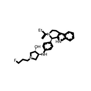 C=C(CC)N1CCc2c([nH]c3ccccc23)[C@H]1c1ccc(N[C@H]2CN(CCCF)C[C@@H]2O)cc1